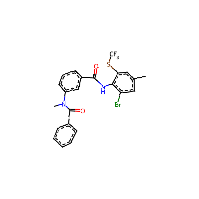 Cc1cc(Br)c(NC(=O)c2cccc(N(C)C(=O)c3ccccc3)c2)c(SC(F)(F)F)c1